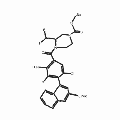 COc1cc(-c2c(Cl)cc(C(=O)N3CCN(C(=O)OC(C)(C)C)CC3C(F)F)c(N)c2F)c2ccccc2c1